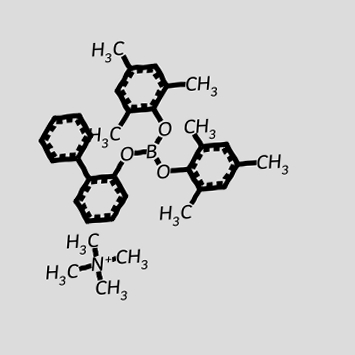 C[N+](C)(C)C.Cc1cc(C)c(OB(Oc2ccccc2-c2ccccc2)Oc2c(C)cc(C)cc2C)c(C)c1